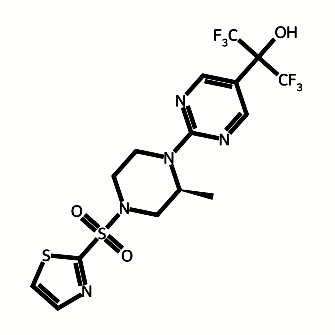 C[C@H]1CN(S(=O)(=O)c2nccs2)CCN1c1ncc(C(O)(C(F)(F)F)C(F)(F)F)cn1